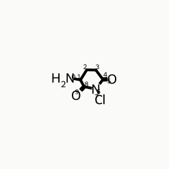 NC1CCC(=O)N(Cl)C1=O